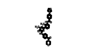 Cc1c(NC(=O)c2ccc(-n3ccnc3)cc2)cccc1-c1cn(C)c(=O)c(Nc2ccc(C(=O)N3CCOCC3)cc2)n1